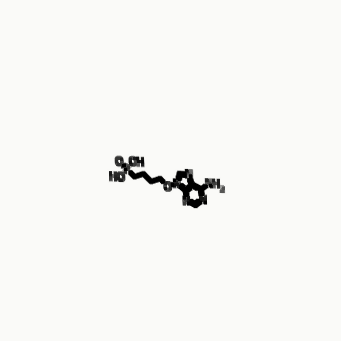 Nc1ncnc2c1ncn2OCCCCP(=O)(O)O